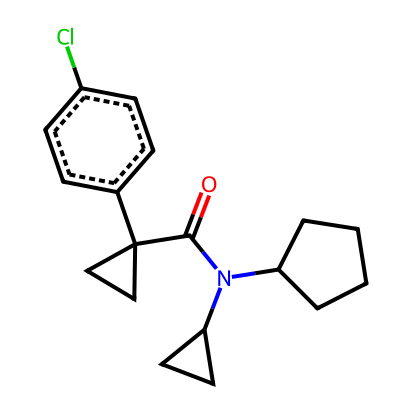 O=C(N(C1CCCC1)C1CC1)C1(c2ccc(Cl)cc2)CC1